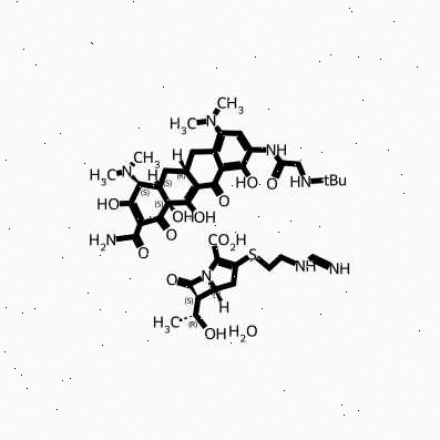 CN(C)c1cc(NC(=O)CNC(C)(C)C)c(O)c2c1C[C@H]1C[C@H]3[C@H](N(C)C)C(O)=C(C(N)=O)C(=O)[C@@]3(O)C(O)=C1C2=O.C[C@@H](O)[C@H]1C(=O)N2C(C(=O)O)=C(SCCNC=N)C[C@H]12.O